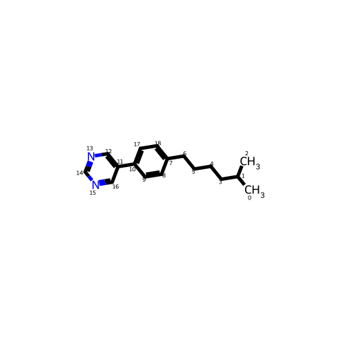 CC(C)CCCCc1ccc(-c2cncnc2)cc1